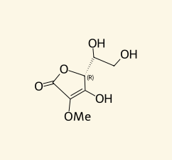 COC1=C(O)[C@@H](C(O)CO)OC1=O